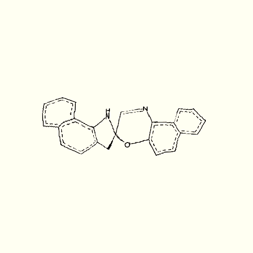 C1=Nc2c(ccc3ccccc23)O[C@@]12Cc1ccc3ccccc3c1N2